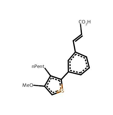 CCCCCc1c(OC)csc1-c1cccc(C=CC(=O)O)c1